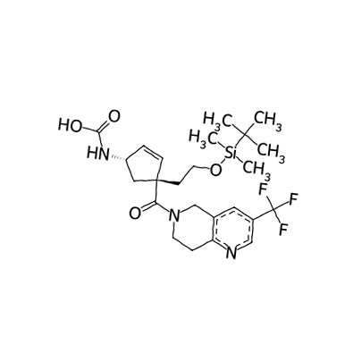 CC(C)(C)[Si](C)(C)OCC[C@]1(C(=O)N2CCc3ncc(C(F)(F)F)cc3C2)C=C[C@@H](NC(=O)O)C1